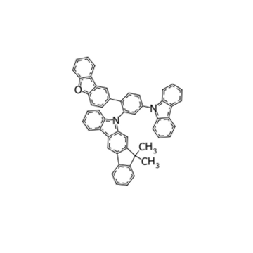 CC1(C)c2ccccc2-c2cc3c4ccccc4n(-c4cc(-n5c6ccccc6c6ccccc65)ccc4-c4ccc5oc6ccccc6c5c4)c3cc21